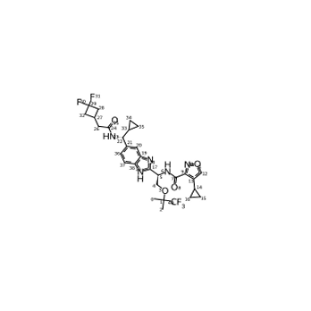 CC(C)(OC[C@H](NC(=O)c1nocc1C1CC1)c1nc2cc([C@H](NC(=O)CC3CC(F)(F)C3)C3CC3)ccc2[nH]1)C(F)(F)F